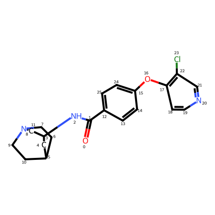 O=C(NC1CC2CCN(CC2)C1)c1ccc(Oc2ccncc2Cl)cc1